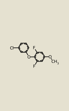 COc1cc(F)c(Oc2cccc(Cl)c2)c(F)c1